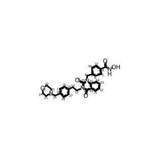 O=C(NO)c1ccc(Cn2c(=O)n(CCc3ccc(CN4CCOCC4)cc3)c(=O)c3ccccc32)cc1